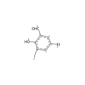 CCc1cc(I)c(O)c(C=O)c1